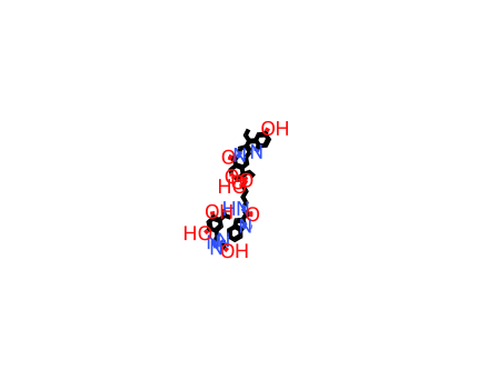 CCc1c2c(nc3ccc(O)cc13)-c1cc3c(c(=O)n1C2)COC(=O)C3(CC)OC(O)CCCNC(=O)c1cc2cc(-n3c(O)nnc3-c3cc(C(C)C)c(O)cc3O)ccc2n1C